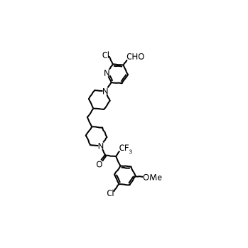 COc1cc(Cl)cc(C(C(=O)N2CCC(CC3CCN(c4ccc(C=O)c(Cl)n4)CC3)CC2)C(F)(F)F)c1